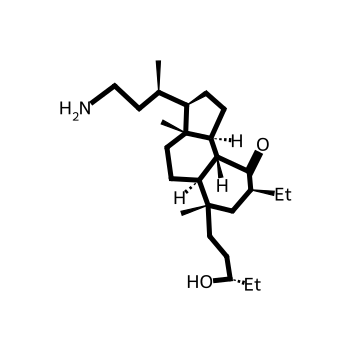 CC[C@H](O)CC[C@@]1(C)C[C@H](CC)C(=O)[C@@H]2[C@@H]1CC[C@]1(C)[C@@H]([C@H](C)CCN)CC[C@@H]21